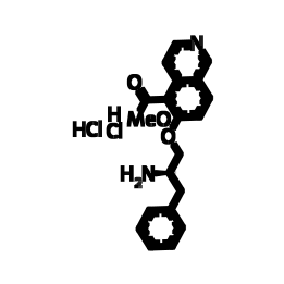 COC(=O)c1c(OC[C@H](N)Cc2ccccc2)ccc2cnccc12.Cl.Cl